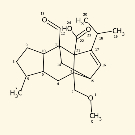 COCC12CC3C(C)CCC3C3(C=O)CC1C=C(C(C)C)C32C(=O)O